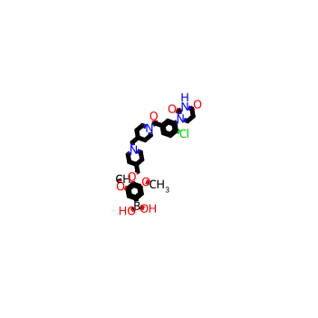 COc1cc(B(O)O)cc(OC)c1OCC1CCN(CC2CCN(C(=O)c3ccc(Cl)c(N4CCC(=O)NC4=O)c3)CC2)CC1